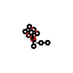 c1ccc(-c2ccc(-n3c4ccccc4c4cc(-c5cccc6c5C5(c7ccccc7-c7ccccc75)c5ccccc5C65c6ccccc6-c6ccccc65)ccc43)cc2)cc1